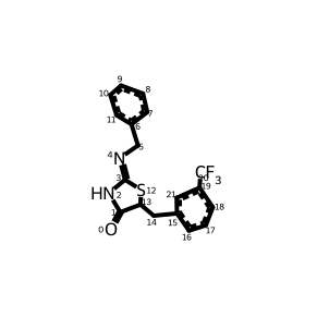 O=C1N/C(=N/Cc2ccccc2)SC1Cc1cccc(C(F)(F)F)c1